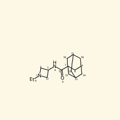 CCN1CC(NC(=O)C23CC4CC(CC(C4)C2)C3)C1